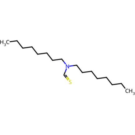 CCCCCCCCN(C=S)CCCCCCCC